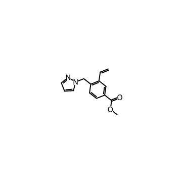 C=Cc1cc(C(=O)OC)ccc1Cn1cccn1